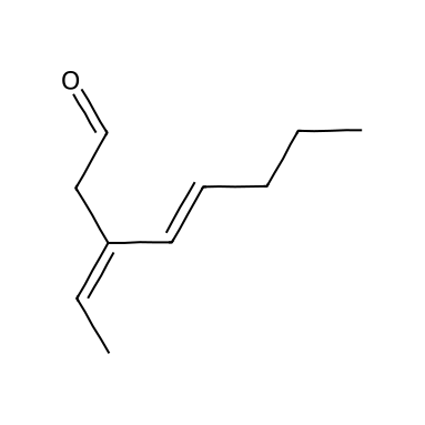 CC=C(C=CCCC)CC=O